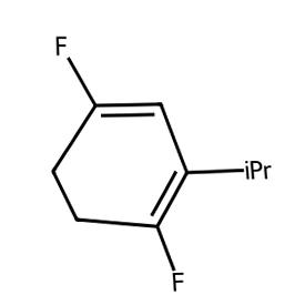 CC(C)C1=C(F)CCC(F)=C1